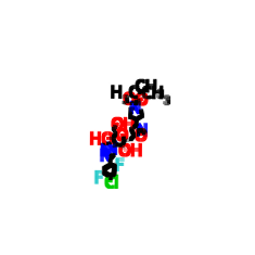 CC(C)(C)OC(=O)N1CCC(C2=NOC(C[C@H]3O[C@H](CO)[C@H](O)[C@H](n4cc(-c5cc(F)c(Cl)cc5F)nn4)[C@H]3O)C2)CC1